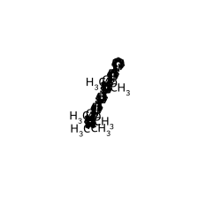 CC1=CC(N2CCC(N3CCN(S(=O)(=O)c4c(C)cc(C)c(C)c4C)CC3)CC2)=CC(C)C1S(=O)(=O)N1CCC(N2CCCCCC2)CC1